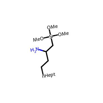 CCCCCCCCCC(N)C[Si](OC)(OC)OC